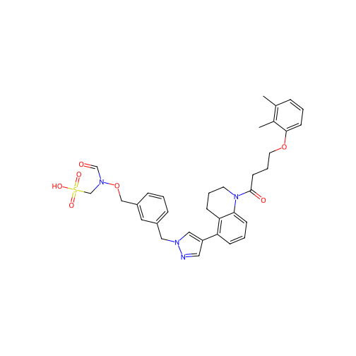 Cc1cccc(OCCCC(=O)N2CCCc3c(-c4cnn(Cc5cccc(CON(C=O)CS(=O)(=O)O)c5)c4)cccc32)c1C